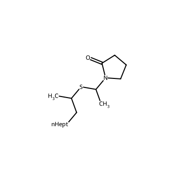 CCCCCCCCC(C)SC(C)N1CCCC1=O